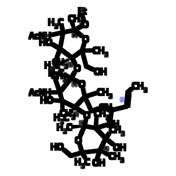 C/C=C/C(=O)NC1(C)C(C)(O)[C@](C)(O)C(C)(CO)O[C@@]1(C)O[C@]1(C)C(C)(CO)O[C@@](C)(O[C@]2(C)C(C)(CO)O[C@@](C)(OCC)C(C)(NC(C)=O)C2(C)O)C(C)(NC(C)=O)C1(C)O